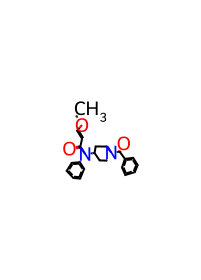 CCO/C=C/C(=O)N(c1ccccc1)C1CCN(C(=O)c2ccccc2)CC1